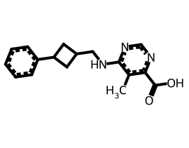 Cc1c(NCC2CC(c3ccccc3)C2)ncnc1C(=O)O